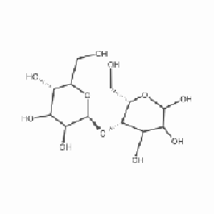 OCC1O[C@@H](O[C@H]2C(O)C(O)C(O)O[C@H]2CO)[C@@H](O)C(O)[C@@H]1O